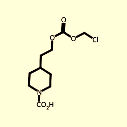 O=C(OCCl)OCCC1CCN(C(=O)O)CC1